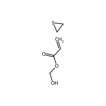 C1CS1.C=CC(=O)OCO